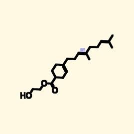 CC(C)=CCC/C(C)=C/CCC1=CCC(C(=O)OCCO)CC1